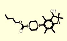 CCCCOC(=O)N1CCN(c2c(C)c(C)c3c(c2C)C(O)C(C)(C)O3)CC1